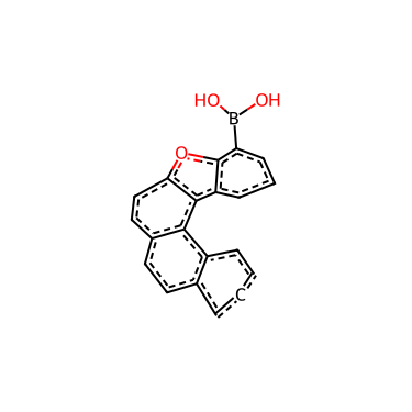 OB(O)c1cccc2c1oc1ccc3ccc4ccccc4c3c12